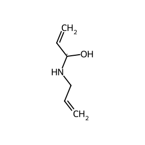 C=CCN[C](O)C=C